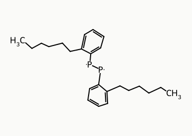 CCCCCCc1ccccc1[P][P]c1ccccc1CCCCCC